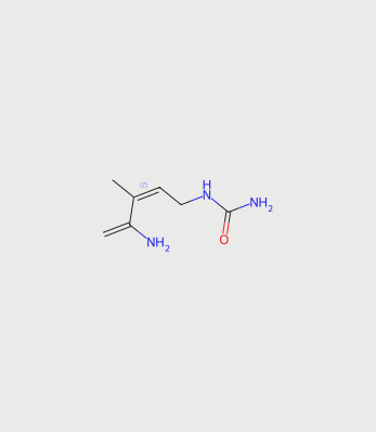 C=C(N)/C(C)=C\CNC(N)=O